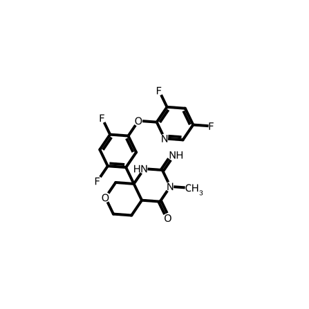 CN1C(=N)NC2(c3cc(Oc4ncc(F)cc4F)c(F)cc3F)COCCC2C1=O